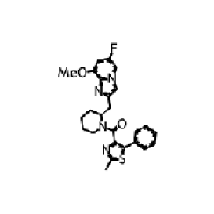 COc1cc(F)cn2cc(C[C@@H]3CCCCN3C(=O)c3nc(C)sc3-c3ccccc3)nc12